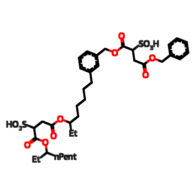 CCCCCC(CC)OC(=O)C(CC(=O)OC(CC)CCCCCc1cccc(COC(=O)C(CC(=O)OCc2ccccc2)S(=O)(=O)O)c1)S(=O)(=O)O